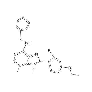 CCOc1ccc(-n2nc3c(NCc4ccccc4)nnc(C)c3c2C)c(F)c1